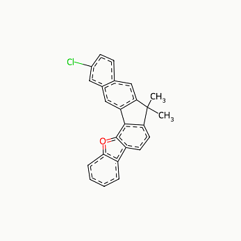 CC1(C)c2cc3ccc(Cl)cc3cc2-c2c1ccc1c2oc2ccccc21